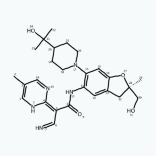 CC1=CN/C(=C(\C=N)C(=O)Nc2cc3c(cc2N2CCC(C(C)(C)O)CC2)O[C@@](C)(CO)C3)N=C1